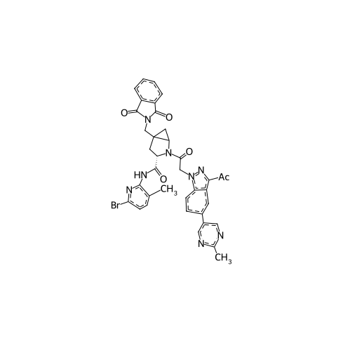 CC(=O)c1nn(CC(=O)N2C3CC3(CN3C(=O)c4ccccc4C3=O)C[C@H]2C(=O)Nc2nc(Br)ccc2C)c2ccc(-c3cnc(C)nc3)cc12